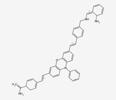 C=C(N)C1C=CC(/C=C/c2ccc3c(c2)Oc2cc(/C=C/c4ccc(CN/C=C5/C=CC=CC5N)cc4)ccc2N3c2ccccc2)=CC1